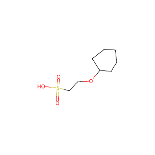 O=S(=O)(O)CCOC1CCCCC1